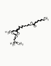 CCCCCCCC(=O)OCCCCCCCCCCC(CCOC)OC(=O)OCCCN(C)C